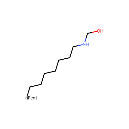 CCCCCCCCCCCCNCO